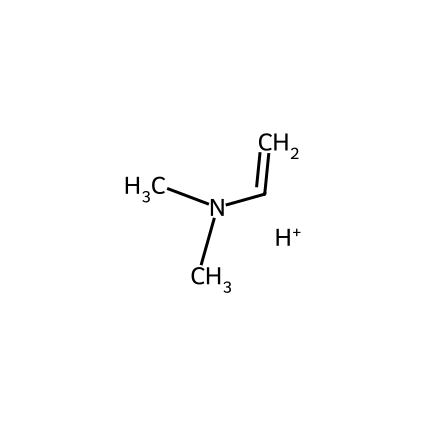 C=CN(C)C.[H+]